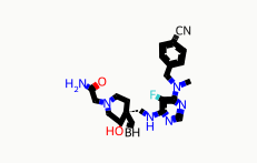 B=C[C@]1(CNc2ncnc(N(C)Cc3ccc(C#N)cc3)c2F)CCN(CC(N)=O)C[C@H]1O